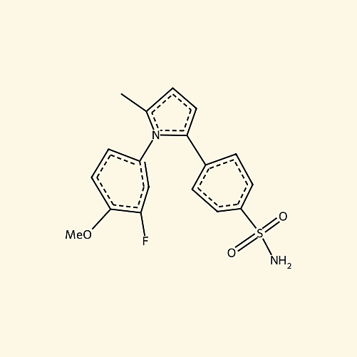 COc1ccc(-n2c(C)ccc2-c2ccc(S(N)(=O)=O)cc2)cc1F